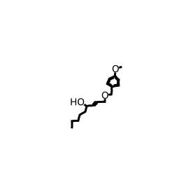 CCCCCC(O)C#CCOCc1ccc(OC)cc1